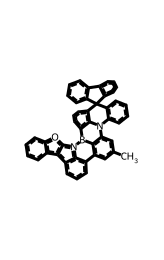 Cc1cc2c3c(c1)N1c4ccccc4C4(c5ccccc5-c5ccccc54)c4cccc(c41)B3n1c3oc4ccccc4c3c3cccc-2c31